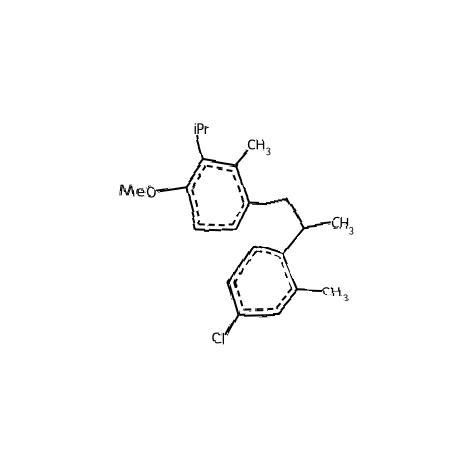 COc1ccc(CC(C)c2ccc(Cl)cc2C)c(C)c1C(C)C